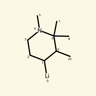 [Li][CH]1CCN(C)C(C)(C)C1C